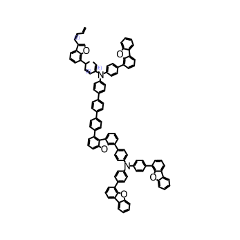 C=C/C=C\c1coc2c(C(C)/C=C\C(=C/C)N(c3ccc(-c4ccc(-c5ccc(-c6cccc7oc8c(-c9ccc(N(c%10ccc(-c%11cccc%12c%11oc%11ccccc%11%12)cc%10)c%10ccc(-c%11cccc%12c%11oc%11ccccc%11%12)cc%10)cc9)cccc8c67)cc5)cc4)cc3)c3ccc(-c4cccc5c4oc4ccccc45)cc3)cccc12